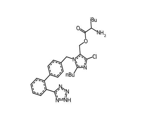 CCCCc1nc(Cl)c(COC(=O)C(N)C(C)CC)n1Cc1ccc(-c2ccccc2-c2nn[nH]n2)cc1